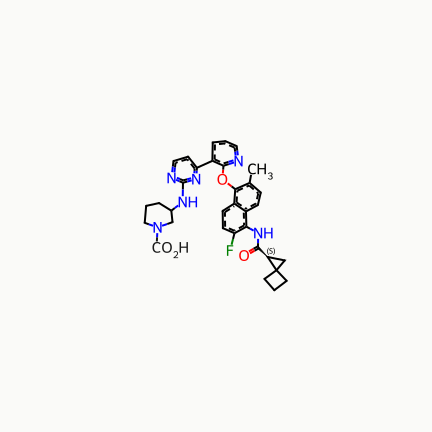 Cc1ccc2c(NC(=O)[C@H]3CC34CCC4)c(F)ccc2c1Oc1ncccc1-c1ccnc(NC2CCCN(C(=O)O)C2)n1